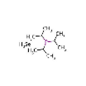 CC(C)P(C(C)C)C(C)C.[SeH2]